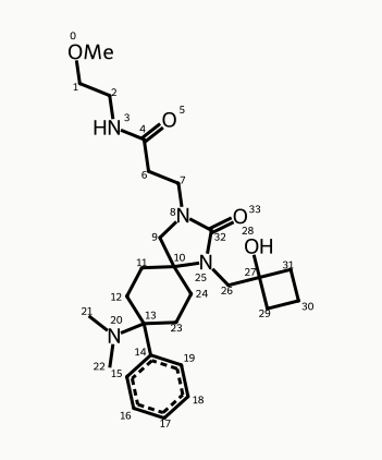 COCCNC(=O)CCN1CC2(CCC(c3ccccc3)(N(C)C)CC2)N(CC2(O)CCC2)C1=O